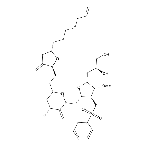 C=CCOCCC[C@H]1CC(=C)[C@H](CCC2C[C@@H](C)C(=C)C(C[C@@H]3O[C@H](C[C@H](O)CO)[C@H](OC)[C@H]3CS(=O)(=O)c3ccccc3)O2)O1